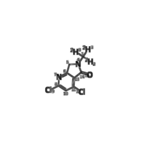 [2H]C([2H])([2H])N1Cc2nc(Cl)cc(Cl)c2C1=O